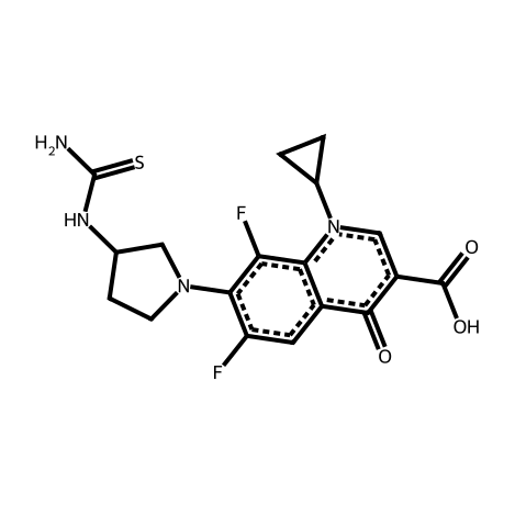 NC(=S)NC1CCN(c2c(F)cc3c(=O)c(C(=O)O)cn(C4CC4)c3c2F)C1